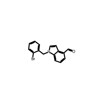 O=Cc1cccc2c1ccn2Cc1ccccc1Br